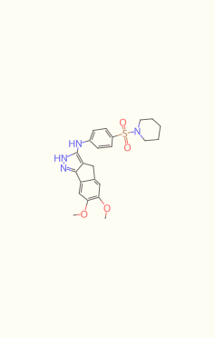 COc1cc2c(cc1OC)-c1n[nH]c(Nc3ccc(S(=O)(=O)N4CCCCC4)cc3)c1C2